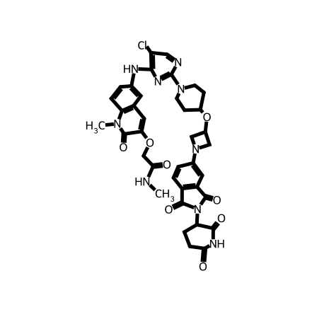 CNC(=O)COc1cc2cc(Nc3nc(N4CCC(OC5CN(c6ccc7c(c6)C(=O)N(C6CCC(=O)NC6=O)C7=O)C5)CC4)ncc3Cl)ccc2n(C)c1=O